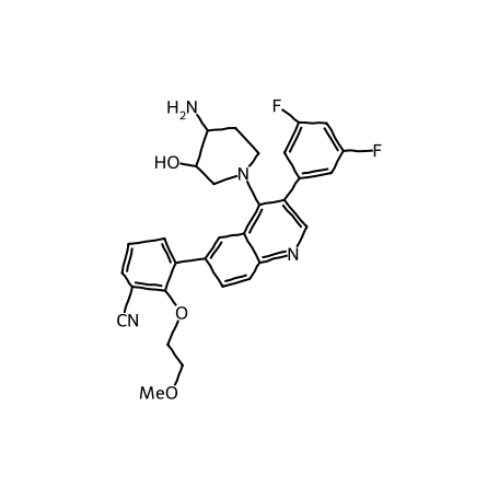 COCCOc1c(C#N)cccc1-c1ccc2ncc(-c3cc(F)cc(F)c3)c(N3CCC(N)C(O)C3)c2c1